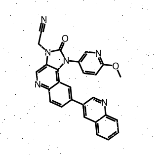 COc1ccc(-n2c(=O)n(CC#N)c3cnc4ccc(-c5cnc6ccccc6c5)cc4c32)cn1